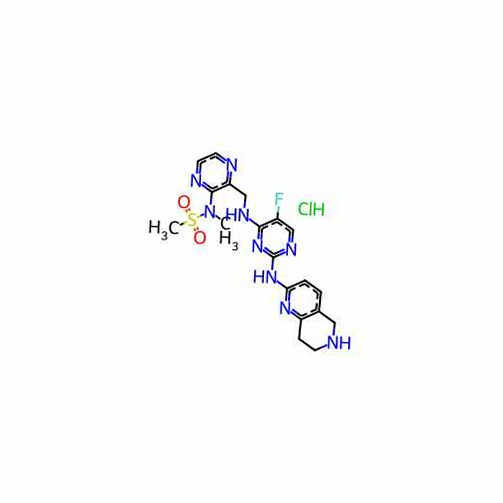 CN(c1nccnc1CNc1nc(Nc2ccc3c(n2)CCNC3)ncc1F)S(C)(=O)=O.Cl